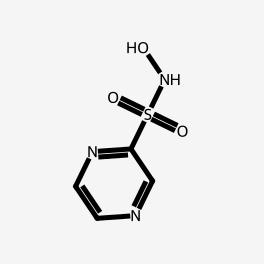 O=S(=O)(NO)c1cnccn1